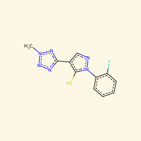 Cn1nnc(-c2cnn(-c3ccccc3F)c2S)n1